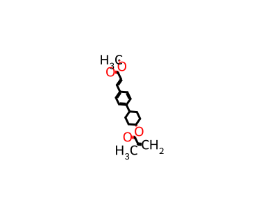 C=C(C)C(=O)OC1CCC(c2ccc(C=CC(=O)OC)cc2)CC1